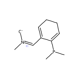 [CH2-]/[N+](C)=C\C1=CCCC=C1P(C)C